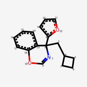 C1=NC(CC2CCC2)(c2ccco2)c2ccccc2O1